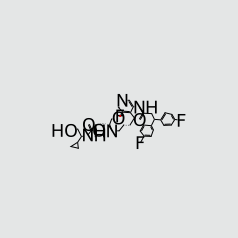 O=C(CC(c1ccc(F)cc1)c1ccc(F)cc1)Nc1cncc(F)c1CC[C@@H]1CN[C@H](COC(=O)NC(CO)C2CC2)CO1